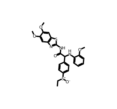 CC[S+]([O-])c1ccc(C(Nc2ccccc2OC)C(=O)Nc2nc3cc(OC)c(OC)cc3s2)cc1